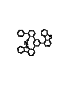 N#Cc1c(-c2ccccc2)cccc1-c1cc(-c2cccc3c2sc2ccccc23)cc(-c2cccc3sc4ccccc4c23)c1